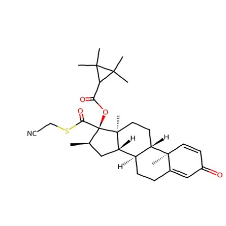 C[C@@H]1C[C@H]2[C@@H]3CCC4=CC(=O)C=C[C@]4(C)[C@H]3CC[C@]2(C)[C@@]1(OC(=O)C1C(C)(C)C1(C)C)C(=O)SCC#N